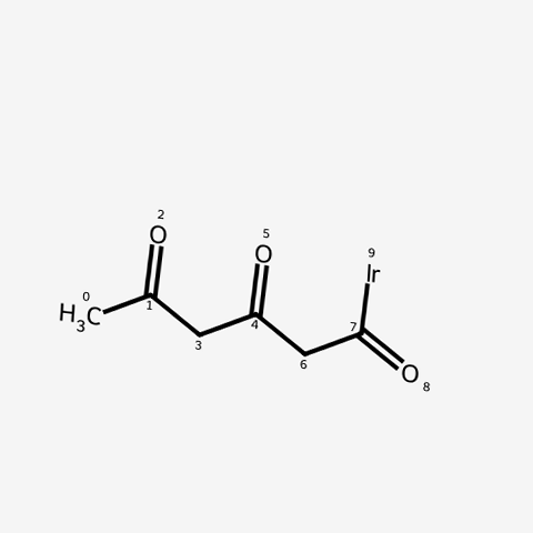 CC(=O)CC(=O)C[C](=O)[Ir]